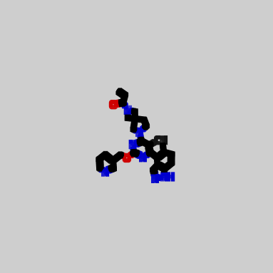 C=CC(=O)N1CC2(CCN(c3nc(OCc4cccnc4)nc(-c4c(C)ccc5[nH]ncc45)c3C#N)C2)C1